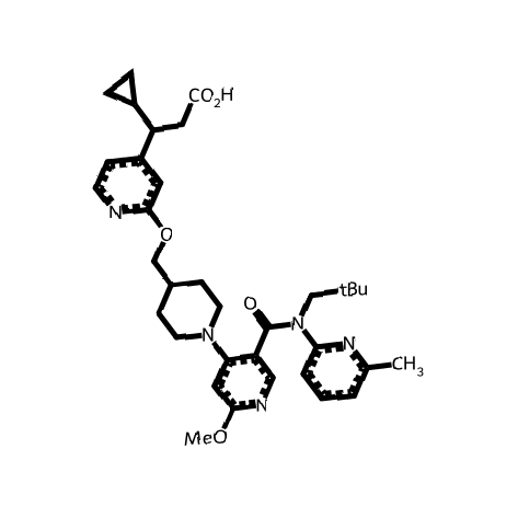 COc1cc(N2CCC(COc3cc(C(CC(=O)O)C4CC4)ccn3)CC2)c(C(=O)N(CC(C)(C)C)c2cccc(C)n2)cn1